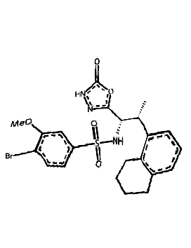 COc1cc(S(=O)(=O)N[C@H](c2n[nH]c(=O)o2)[C@H](C)c2cccc3c2CCCC3)ccc1Br